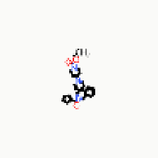 CCOC(=O)N1CCC(N2CCC3(CC2)CN(C(=O)C2CCCC2)Cc2ccccc23)CC1